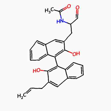 C=CCc1cc2ccccc2c(-c2c(O)c(CC(C=O)NC(C)=O)cc3ccccc23)c1O